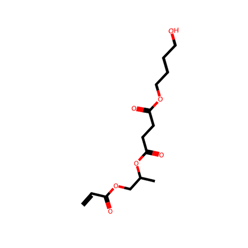 C=CC(=O)OCC(C)OC(=O)CCC(=O)OCCCCO